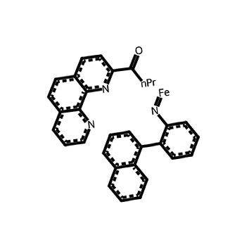 CCCC(=O)c1ccc2ccc3cccnc3c2n1.[Fe]=[N]c1ccccc1-c1cccc2ccccc12